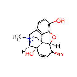 CN1CCC23c4c5ccc(O)c4O[C@H]2C(=O)C=C[C@@]3(O)[C@H]1C5